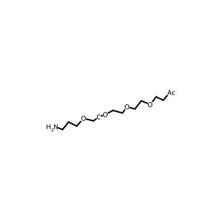 CC(=O)CCOCCOCCOCCOCCCN